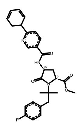 COC(=O)[C@@H]1C[C@H](NC(=O)c2ccc(C3C=CC=CC3)nc2)C(=O)N1C(C)(C)Cc1ccc(F)cc1